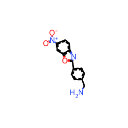 NCc1ccc(-c2nc3ccc([N+](=O)[O-])cc3o2)cc1